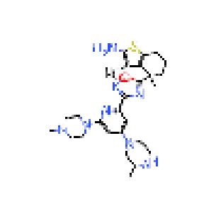 CC1CN(c2cc(-c3noc(C4(C)CCCc5sc(N)c(C#N)c54)n3)nc(N3CCN(C)CC3)c2)CCN1